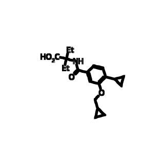 CCC(CC)(NC(=O)c1ccc(C2CC2)c(OCC2CC2)c1)C(=O)O